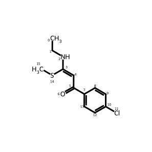 CCNC(=CC(=O)c1ccc(Cl)cc1)SC